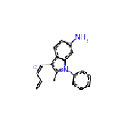 C=C/C=C\c1c(C)n(-c2ccccc2)c2cc(N)ccc12